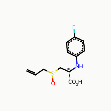 C=CC[S+]([O-])C[C@H](Nc1ccc(F)cc1)C(=O)O